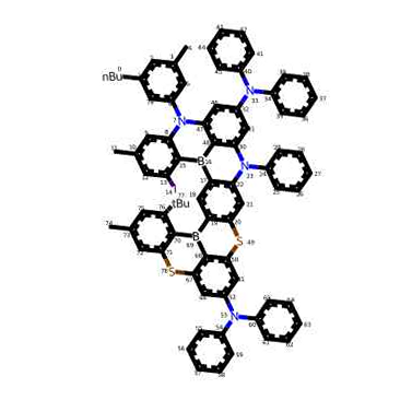 CCCCc1cc(C)cc(N2c3cc(C)cc(I)c3B3c4cc5c(cc4N(c4ccccc4)c4cc(N(c6ccccc6)c6ccccc6)cc2c43)Sc2cc(N(c3ccccc3)c3ccccc3)cc3c2B5c2c(cc(C)cc2C(C)(C)C)S3)c1